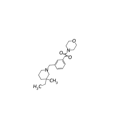 CCC1(C)CCCN(Cc2cccc(S(=O)(=O)N3CCOCC3)c2)C1